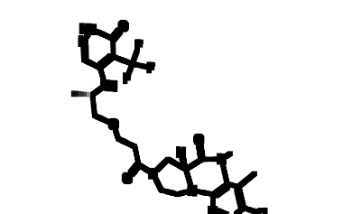 Cc1c(Cl)cnc2c1N(C)C(=O)[C@H]1CN(C(=O)CCOC[C@H](C)Nc3cn[nH]c(=O)c3C(F)(F)F)CCN21